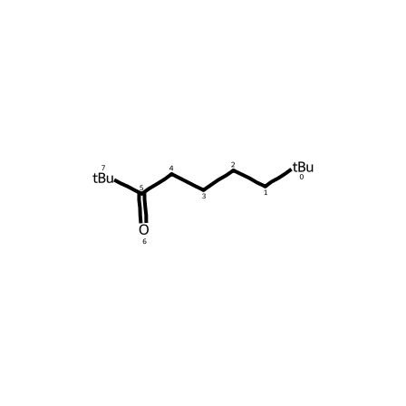 CC(C)(C)CCCCC(=O)C(C)(C)C